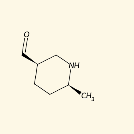 C[C@H]1CC[C@@H](C=O)CN1